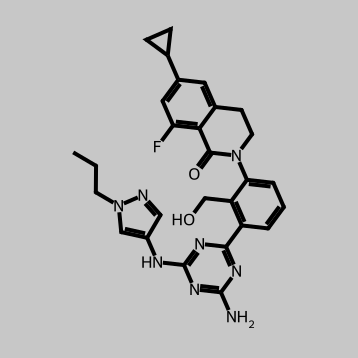 CCCn1cc(Nc2nc(N)nc(-c3cccc(N4CCc5cc(C6CC6)cc(F)c5C4=O)c3CO)n2)cn1